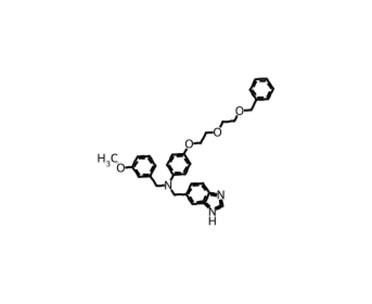 COc1cccc(CN(Cc2ccc3nc[nH]c3c2)c2ccc(OCCOCCOCc3ccccc3)cc2)c1